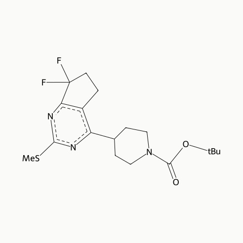 CSc1nc(C2CCN(C(=O)OC(C)(C)C)CC2)c2c(n1)C(F)(F)CC2